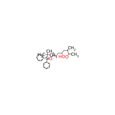 C=C(CC(O)CCCO[Si](c1ccccc1)(c1ccccc1)C(C)(C)C)C(C)=O